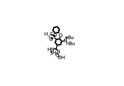 CCCCN(CCCC)c1cc(/C(=N/OO)NS)cc(S(C)(=O)=O)c1Oc1ccccc1